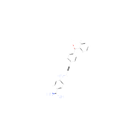 N=C(N)c1ccc(NCC#Cc2ccc(C(=O)c3ccccc3C(=O)O)cc2)cc1